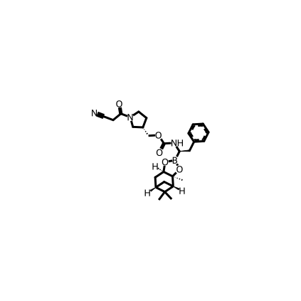 CC1(C)[C@@H]2C[C@H]3OB([C@H](Cc4ccccc4)NC(=O)OC[C@H]4CCN(C(=O)CC#N)C4)O[C@@]3(C)[C@H]1C2